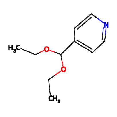 CCOC(OCC)c1ccncc1